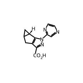 O=C(O)c1nn(-c2cnccn2)c2c1CC1C[C@H]21